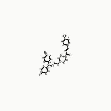 Cc1ccc(C=CC(=O)N2CCN(CCOC(c3ccc(F)cc3)c3ccc(F)cc3)CC2)cc1